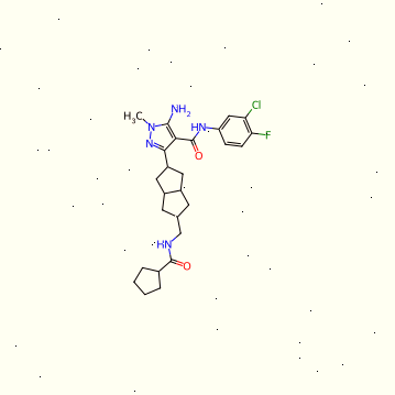 Cn1nc(C2CC3CC(CNC(=O)C4CCCC4)CC3C2)c(C(=O)Nc2ccc(F)c(Cl)c2)c1N